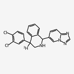 [2H]C1(c2ccc(Cl)c(Cl)c2)CNC(c2ccc3ncnn3c2)c2ccccc21